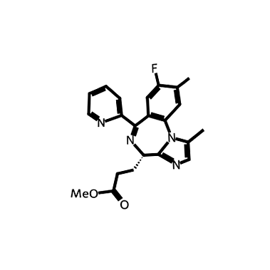 COC(=O)CC[C@@H]1N=C(c2ccccn2)c2cc(F)c(C)cc2-n2c(C)cnc21